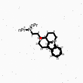 CCCN(CCC)CCCC12CCCn3c1c(c1ccccc13)CCO2